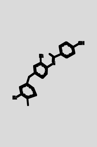 CCc1cc(Cc2ccc(/N=C(\C)c3ccc(O)cc3)c(CC)c2)ccc1C